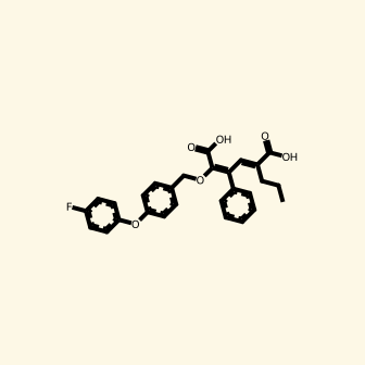 CCCC(=CC(=C(OCc1ccc(Oc2ccc(F)cc2)cc1)C(=O)O)c1ccccc1)C(=O)O